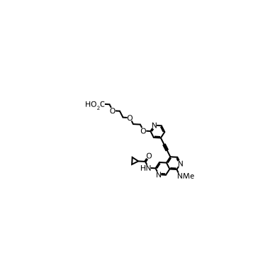 CNc1ncc(C#Cc2ccnc(OCCOCCOCC(=O)O)c2)c2cc(NC(=O)C3CC3)ncc12